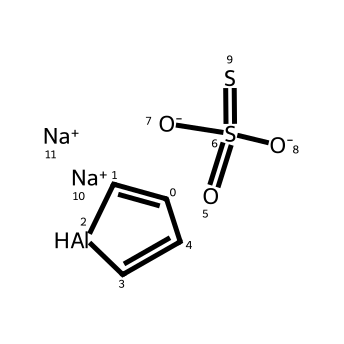 C1=[CH][AlH][CH]=C1.O=S([O-])([O-])=S.[Na+].[Na+]